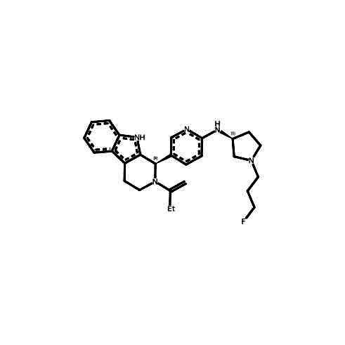 C=C(CC)N1CCc2c([nH]c3ccccc23)[C@H]1c1ccc(N[C@H]2CCN(CCCF)C2)nc1